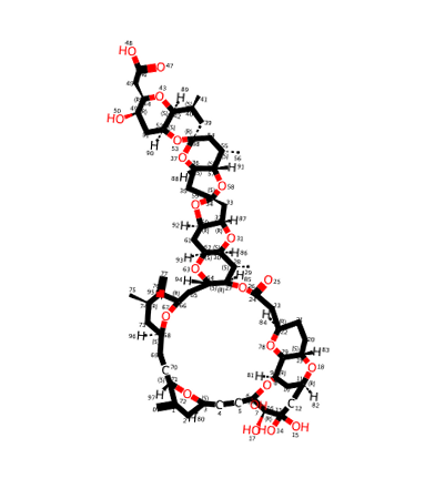 C=C1C[C@@H]2CC[C@]3(O)O[C@@H]4C[C@H](CC(O)(O)[C@H]3O)O[C@H]3CC[C@H](CC(=O)O[C@@H]5[C@@H](C)[C@@H]6O[C@@H]7C[C@]8(C[C@@H]9O[C@]%10(C[C@H](C)[C@@H]%11O[C@H](CC(=O)O)[C@H](O)C[C@@H]%11O%10)C[C@H](C)[C@@H]9O8)O[C@@H]7C[C@@H]6O[C@H]5C[C@H]5O[C@@H](CC[C@@H]1O2)C[C@@H](C)C5=C)OC34